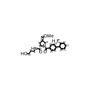 CON=C1C[C@@H](C(=O)NCCCO)N(C(=O)c2ccc(-c3ccccc3C)cc2)C1